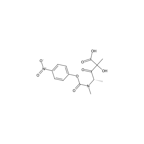 C[C@@H](C(=O)C(C)(O)C(=O)O)N(C)C(=O)Oc1ccc([N+](=O)[O-])cc1